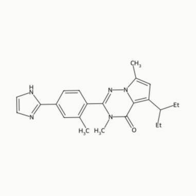 CCC(CC)c1cc(C)n2nc(-c3ccc(-c4ncc[nH]4)cc3C)n(C)c(=O)c12